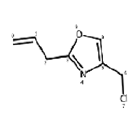 C=CCc1nc(CCl)co1